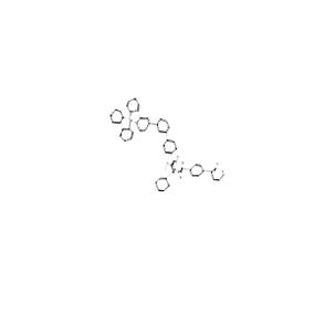 c1ccc(-c2nc(-c3ccc(-c4cccnc4)cc3)nc(-c3ccc(-c4cccc(-c5ccc6c(c5)-c5ccccc5C65c6ccccc6-c6ccccc65)c4)cc3)n2)cc1